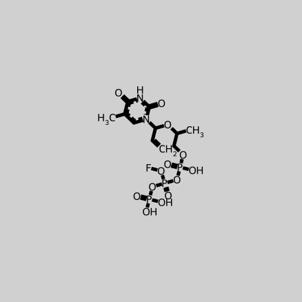 C=CC(OC(C)COP(=O)(O)OP(=O)(OF)OP(=O)(O)O)n1cc(C)c(=O)[nH]c1=O